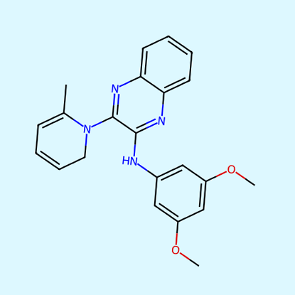 COc1cc(Nc2nc3ccccc3nc2N2CC=CC=C2C)cc(OC)c1